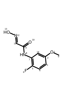 COc1ccc(F)c(NC(=O)C=NO)c1